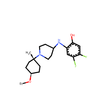 CCO[C@H]1CC[C@](C)(N2CCC(Nc3cc(F)c(F)cc3O)CC2)CC1